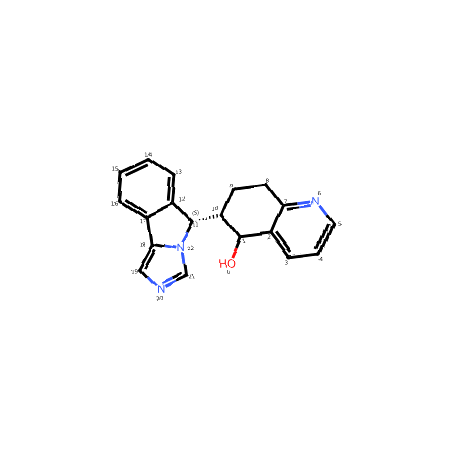 OC1c2cccnc2CCC1[C@H]1c2ccccc2-c2cncn21